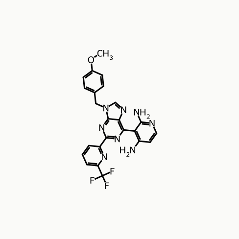 COc1ccc(Cn2cnc3c(-c4c(N)ccnc4N)nc(-c4cccc(C(F)(F)F)n4)nc32)cc1